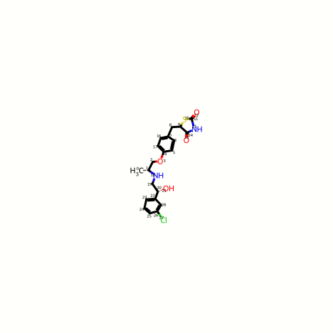 C[C@H](COc1ccc(CC2SC(=O)NC2=O)cc1)NC[C@H](O)c1cccc(Cl)c1